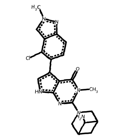 Cn1cc2c(Cl)c(-c3c[nH]c4nc(N5CC6CC(C5)C6N)n(C)c(=O)c34)ccc2n1